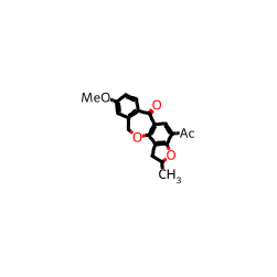 COc1ccc2c(c1)COc1c(cc(C(C)=O)c3c1CC(C)O3)C2=O